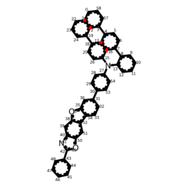 c1ccc(-c2ccc(-c3ccccc3N(c3ccc(-c4ccccc4)cc3)c3ccc(-c4ccc5c(c4)oc4cc6nc(-c7ccccc7)oc6cc45)cc3)cc2)cc1